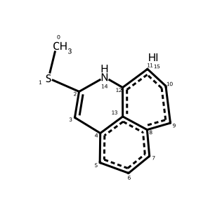 CSC1=Cc2cccc3cccc(c23)N1.I